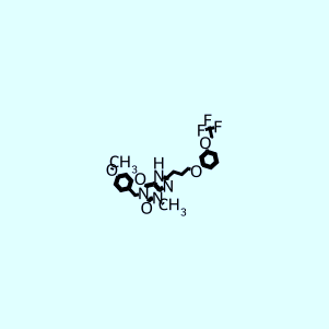 COc1ccc(Cn2c(=O)c3[nH]c(CCCOc4cccc(OCC(F)(F)F)c4)nc3n(C)c2=O)cc1